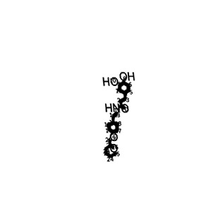 O=C(/C=C/c1ccc(O)c(O)c1)NCCc1ccc(OCC2CCCCO2)cc1